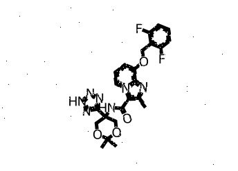 Cc1nc2c(OCc3c(F)cccc3F)cccn2c1C(=O)NC1(c2nn[nH]n2)COC(C)(C)OC1